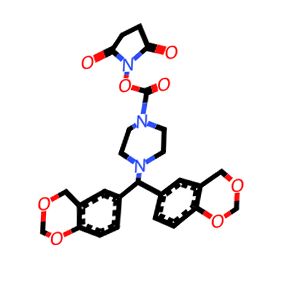 O=C(ON1C(=O)CCC1=O)N1CCN(C(c2ccc3c(c2)COCO3)c2ccc3c(c2)COCO3)CC1